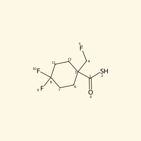 O=C(S)C1(CF)CCC(F)(F)CC1